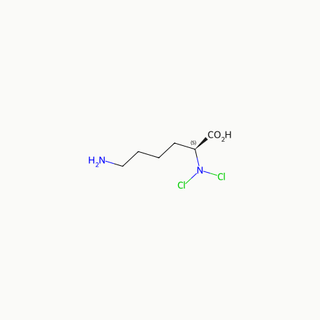 NCCCC[C@@H](C(=O)O)N(Cl)Cl